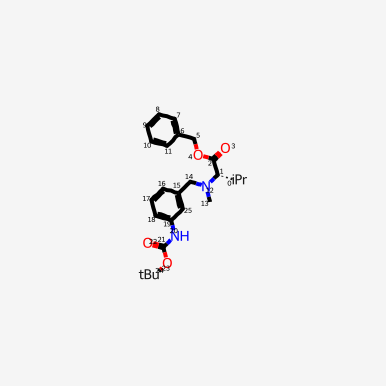 CC(C)[C@@H](C(=O)OCc1ccccc1)N(C)Cc1cccc(NC(=O)OC(C)(C)C)c1